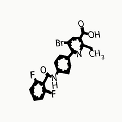 CCc1nc(-c2ccc(NC(=O)c3c(F)cccc3F)cc2)c(Br)cc1C(=O)O